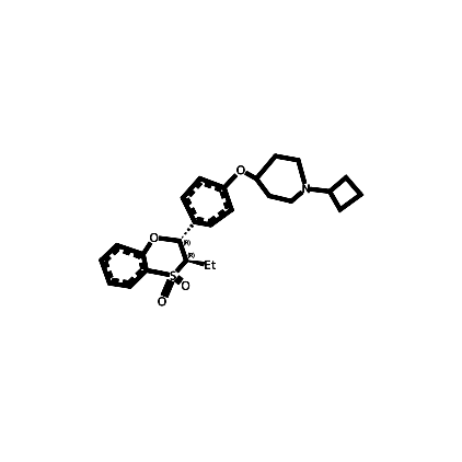 CC[C@@H]1[C@@H](c2ccc(OC3CCN(C4CCC4)CC3)cc2)Oc2ccccc2S1(=O)=O